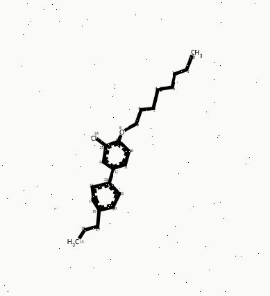 CCCCCCCCOc1ccc(-c2ccc(CCC)cc2)cc1Cl